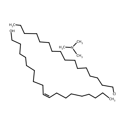 CCCCCCCC/C=C\CCCCCCCCO.CCCCCCCCCCCCCCCCCl.CN(C)C